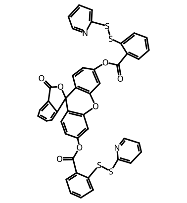 O=C(Oc1ccc2c(c1)Oc1cc(OC(=O)c3ccccc3SSc3ccccn3)ccc1C21OC(=O)c2ccccc21)c1ccccc1SSc1ccccn1